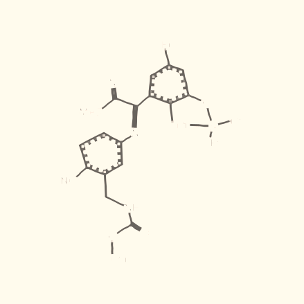 CCc1cc(O[Si](C(C)C)(C(C)C)C(C)C)c(F)c(C(=Nc2ccc(C#N)c(CNC(=O)OC(C)(C)C)c2)C(=N)SC)c1